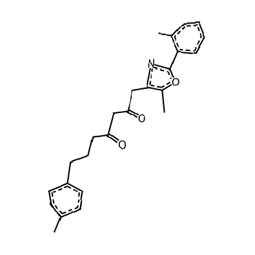 Cc1ccc(CCCC(=O)CC(=O)Cc2nc(-c3ccccc3C)oc2C)cc1